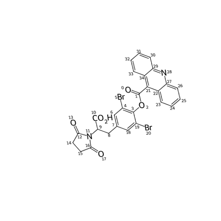 O=C(Oc1c(Br)cc(CC(C(=O)O)N2C(=O)CCC2=O)cc1Br)c1c2ccccc2nc2ccccc12